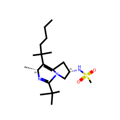 CCCCC(C)(C)C1=C2C[C@H](NS(C)(=O)=O)CN2C(C(C)(C)C)=N[C@@H]1C